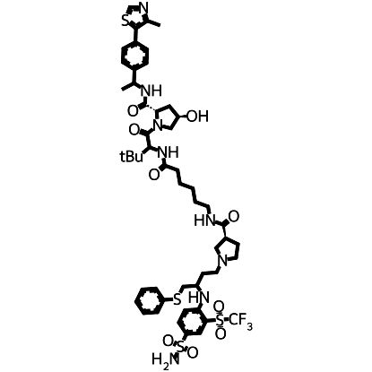 Cc1ncsc1-c1ccc(C(C)NC(=O)[C@@H]2C[C@@H](O)CN2C(=O)C(NC(=O)CCCCCNC(=O)[C@H]2CCN(CCC(CSc3ccccc3)Nc3ccc(S(N)(=O)=O)cc3S(=O)(=O)C(F)(F)F)C2)C(C)(C)C)cc1